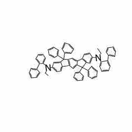 CCN(c1ccc2c(c1)C(c1ccccc1)(c1ccccc1)c1cc3c(cc1-2)C(c1ccccc1)(c1ccccc1)c1cc(N(CC)c2ccccc2-c2ccccc2)ccc1-3)c1ccccc1-c1ccccc1